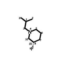 CC(C)CN1CCC[C@H](F)C1